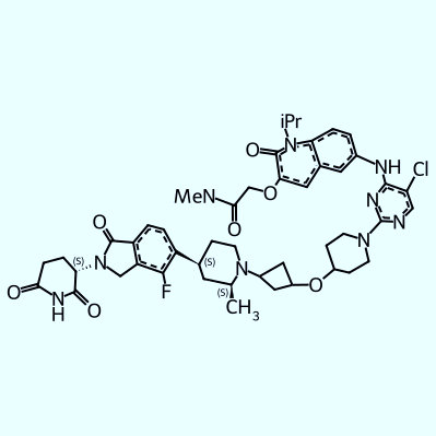 CNC(=O)COc1cc2cc(Nc3nc(N4CCC(OC5CC(N6CC[C@H](c7ccc8c(c7F)CN([C@H]7CCC(=O)NC7=O)C8=O)C[C@@H]6C)C5)CC4)ncc3Cl)ccc2n(C(C)C)c1=O